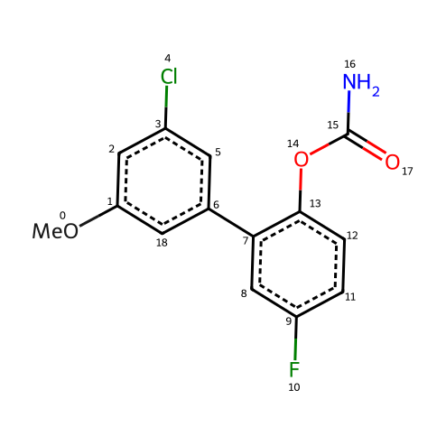 COc1cc(Cl)cc(-c2cc(F)ccc2OC(N)=O)c1